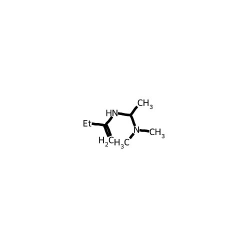 C=C(CC)NC(C)N(C)C